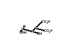 CCCCCCCCCCCCOC(=C=O)CCCCCCCN(CCCCO)CCCN(CCCCCCCC(=O)O)CCCCCCCC(=O)O